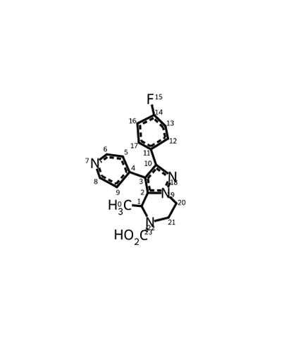 CC1c2c(-c3ccncc3)c(-c3ccc(F)cc3)nn2CCN1C(=O)O